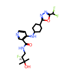 CC(C)(O)[C@H](F)CNC(=O)c1cnccc1NC1CCC(c2nnc(C(F)F)o2)CC1